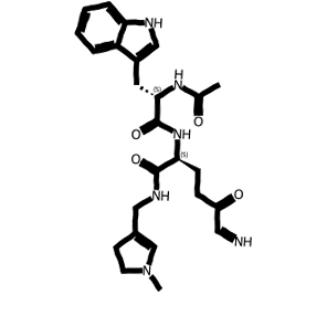 CC(=O)N[C@@H](Cc1c[nH]c2ccccc12)C(=O)N[C@@H](CCC(=O)C=N)C(=O)NCC1=CN(C)CC1